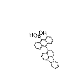 OB(O)c1c2ccccc2c(-c2ccc3c4c(cccc24)-c2ccccc2-3)c2ccccc12